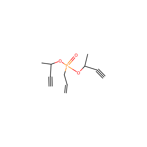 C#CC(C)OP(=O)(CC=C)OC(C)C#C